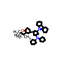 CC1(C)Oc2ccc(-c3cc(N(c4ccccc4)c4ccccc4)cc(-n4c5ccccc5c5ccccc54)c3)cc2C1(C)C